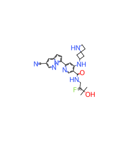 CC(C)(O)[C@H](F)CNC(=O)c1cnc(-c2ccc3cc(C#N)cnn23)cc1NC1CC2(CCN2)C1